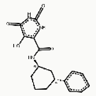 O=C(N[C@@H]1CCC[C@@H](c2ccccc2)C1)c1[nH]c(=O)[nH]c(=O)c1O